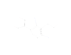 Nc1ccc(C(CO)CO)c(N)c1CCO